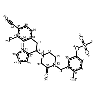 CS(=O)(=O)Oc1ccc(Br)c(CN2CCN(C(Cc3ccc(C#N)c(F)c3)c3cnc[nH]3)CC2=O)c1